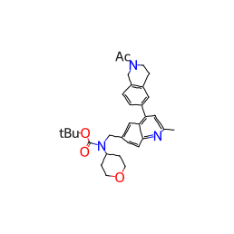 CC(=O)N1CCc2cc(-c3cc(C)nc4ccc(CN(C(=O)OC(C)(C)C)C5CCOCC5)cc34)ccc2C1